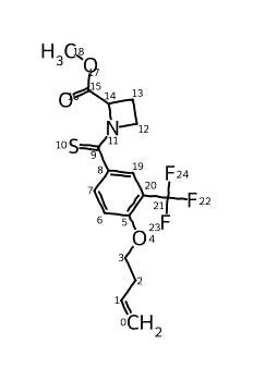 C=CCCOc1ccc(C(=S)N2CCC2C(=O)OC)cc1C(F)(F)F